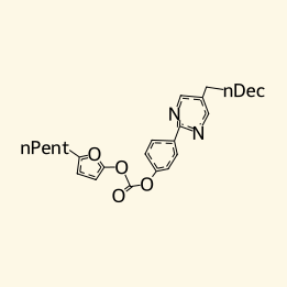 CCCCCCCCCCCc1cnc(-c2ccc(OC(=O)Oc3ccc(CCCCC)o3)cc2)nc1